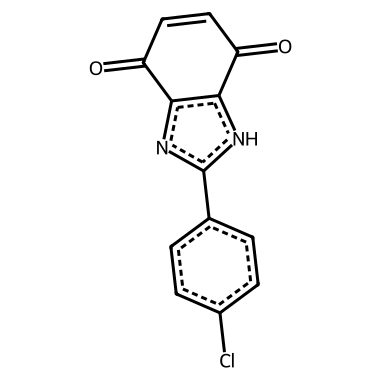 O=C1C=CC(=O)c2[nH]c(-c3ccc(Cl)cc3)nc21